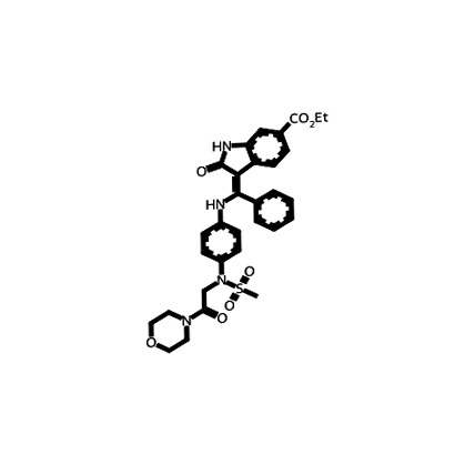 CCOC(=O)c1ccc2c(c1)NC(=O)/C2=C(\Nc1ccc(N(CC(=O)N2CCOCC2)S(C)(=O)=O)cc1)c1ccccc1